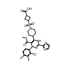 COC(=O)C1=C(C2CCN(S(=O)(=O)C3CC(C(=O)O)C3)CC2)NC(c2nccs2)=NC1c1ccc(F)c(F)c1Cl